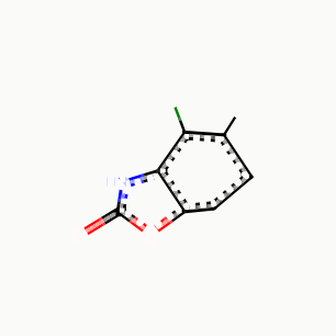 Cc1ccc2oc(=O)[nH]c2c1F